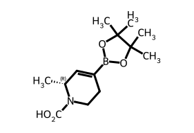 C[C@@H]1C=C(B2OC(C)(C)C(C)(C)O2)CCN1C(=O)O